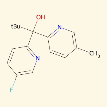 Cc1ccc(C(O)(c2ccc(F)cn2)C(C)(C)C)nc1